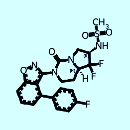 CS(=O)(=O)N[C@@H]1CN2C(=O)N(c3noc4cccc(-c5ccc(F)cc5)c34)CC[C@@H]2C1(F)F